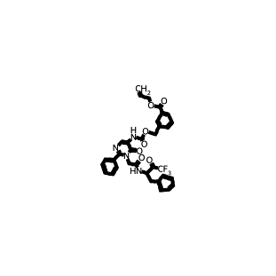 C=CCOC(=O)c1cccc(COC(=O)Nc2cnc(-c3ccccc3)n(CC(=O)NC(Cc3ccccc3)C(=O)C(F)(F)F)c2=O)c1